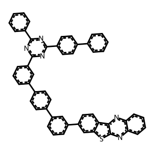 c1ccc(-c2ccc(-c3nc(-c4ccccc4)nc(-c4cccc(-c5ccc(-c6cccc(-c7ccc8c(c7)sc7nc9ccccc9nc78)c6)cc5)c4)n3)cc2)cc1